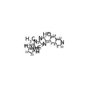 CN(c1cnc(-c2cc3ccncc3cc2O)cn1)[C@H]1C[C@@H]2C=C[C@@H](N2)[C@@H]1F